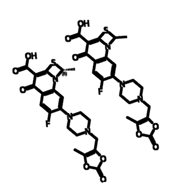 Cc1oc(=O)oc1CN1CCN(c2cc3c(cc2F)c(=O)c(C(=O)O)c2n3C(C)S2)CC1.Cc1oc(=O)oc1CN1CCN(c2cc3c(cc2F)c(=O)c(C(=O)O)c2n3[C@@H](C)S2)CC1